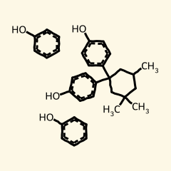 CC1CC(C)(C)CC(c2ccc(O)cc2)(c2ccc(O)cc2)C1.Oc1ccccc1.Oc1ccccc1